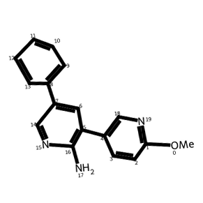 COc1ccc(-c2cc(-c3ccccc3)cnc2N)cn1